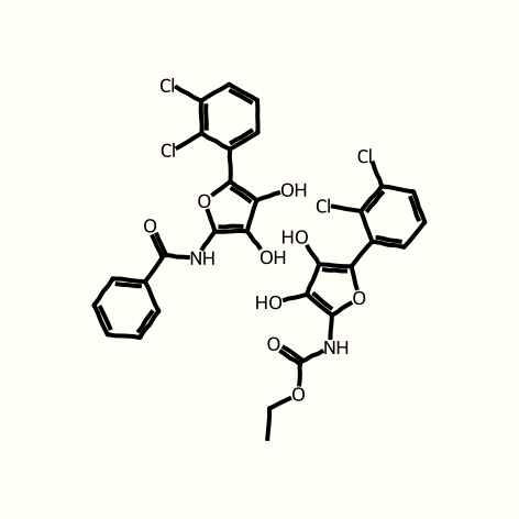 CCOC(=O)Nc1oc(-c2cccc(Cl)c2Cl)c(O)c1O.O=C(Nc1oc(-c2cccc(Cl)c2Cl)c(O)c1O)c1ccccc1